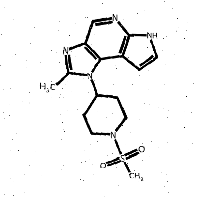 Cc1nc2cnc3[nH]ccc3c2n1C1CCN(S(C)(=O)=O)CC1